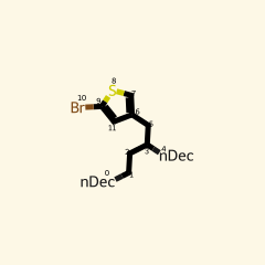 CCCCCCCCCCCCC(CCCCCCCCCC)Cc1csc(Br)c1